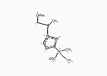 COCC(C)n1cnc([N+](C)(C)C(=O)[O-])n1